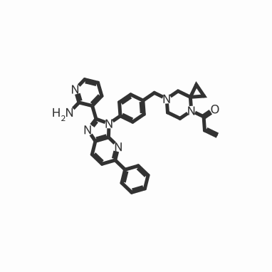 C=CC(=O)N1CCN(Cc2ccc(-n3c(-c4cccnc4N)nc4ccc(-c5ccccc5)nc43)cc2)CC12CC2